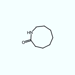 O=C1CCCCCC[CH]N1